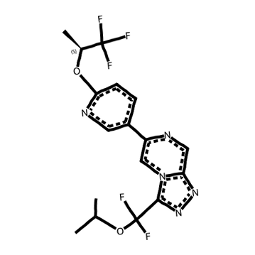 CC(C)OC(F)(F)c1nnc2cnc(-c3ccc(O[C@@H](C)C(F)(F)F)nc3)cn12